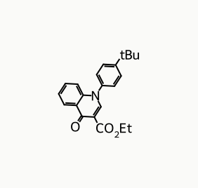 CCOC(=O)c1cn(-c2ccc(C(C)(C)C)cc2)c2ccccc2c1=O